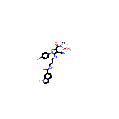 CON(C)C(=O)c1nn(-c2ccc(Cl)cc2)c(NCCCNC(=O)c2ccc3cc[nH]c3c2)c1C#N